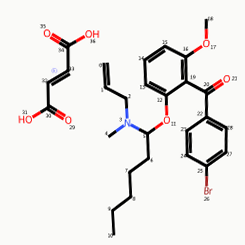 C=CCN(C)C(CCCCC)Oc1cccc(OC)c1C(=O)c1ccc(Br)cc1.O=C(O)/C=C/C(=O)O